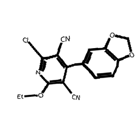 CCOc1nc(Cl)c(C#N)c(-c2ccc3c(c2)OCO3)c1C#N